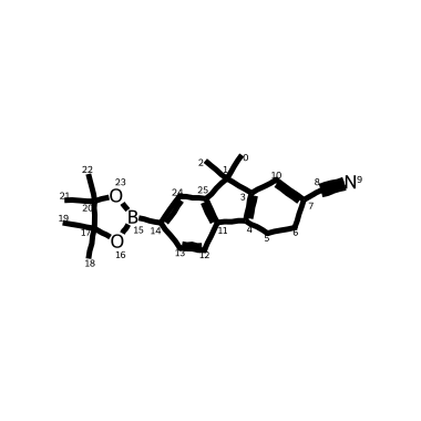 CC1(C)C2=C(CCC(C#N)=C2)c2ccc(B3OC(C)(C)C(C)(C)O3)cc21